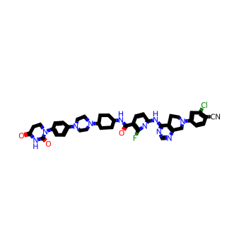 N#Cc1ccc(N2CCc3c(ncnc3Nc3ccc(C(=O)NC4CCC(N5CCN(c6ccc(N7CCC(=O)NC7=O)cc6)CC5)CC4)c(F)n3)C2)cc1Cl